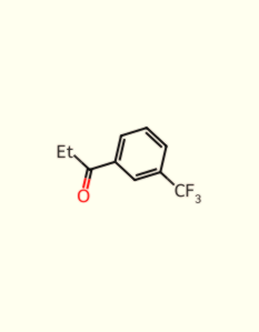 [CH2]CC(=O)c1cccc(C(F)(F)F)c1